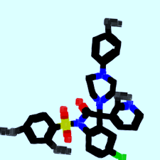 COc1ccc(N2CCN(C3(c4cccnc4OC)C(=O)N(S(=O)(=O)c4ccc(OC)cc4OC)c4ccc(Cl)cc43)CC2)cc1